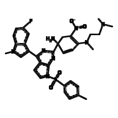 Cc1ccc(S(=O)(=O)n2ccc3c(-c4cn(C)c5ccc(F)cc45)nc(C4(N)C=CC(N(C)CCN(C)C)=C([N+](=O)[O-])C4)nc32)cc1